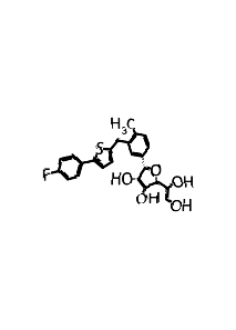 Cc1ccc([C@@H]2O[C@H]([C@@H](O)CO)[C@@H](O)[C@@H]2O)cc1Cc1ccc(-c2ccc(F)cc2)s1